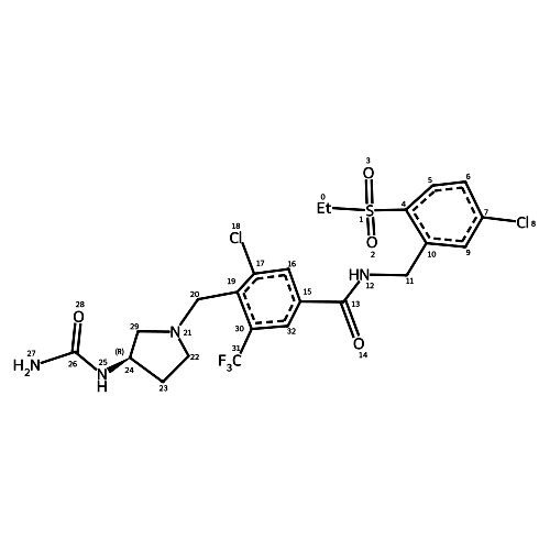 CCS(=O)(=O)c1ccc(Cl)cc1CNC(=O)c1cc(Cl)c(CN2CC[C@@H](NC(N)=O)C2)c(C(F)(F)F)c1